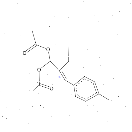 CC/C(=C\c1ccc(C)cc1)C(OC(C)=O)OC(C)=O